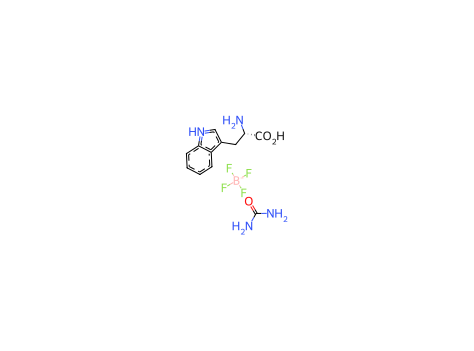 F[B-](F)(F)F.NC(N)=O.N[C@@H](Cc1c[nH]c2ccccc12)C(=O)O